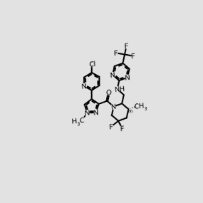 C[C@@H]1CC(F)(F)CN(C(=O)c2nn(C)cc2-c2ccc(Cl)cn2)C1CNc1ncc(C(F)(F)F)cn1